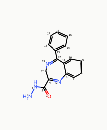 NNC(=O)C1=Nc2ccccc2C(c2ccccc2)=NC1